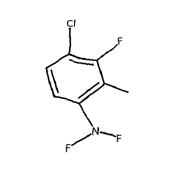 Cc1c(N(F)F)ccc(Cl)c1F